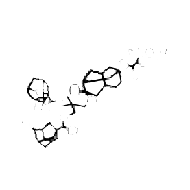 O=C1C2CC3CC1CC(C(=O)OCC1(COC(O)C45CC6CC(C4)C(=O)C(C6)C5)COC4(CC5CCC6(OC(=O)C(F)(F)S(=O)(=O)O)CC5CC4C6)OC1)(C3)C2